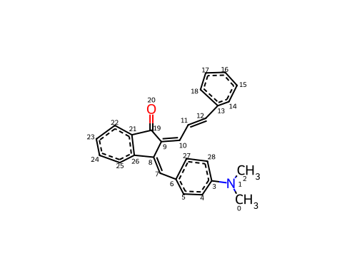 CN(C)c1ccc(C=C2C(=CC=Cc3ccccc3)C(=O)c3ccccc32)cc1